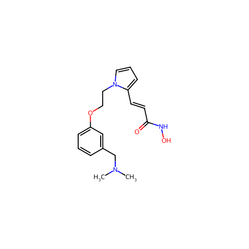 CN(C)Cc1cccc(OCCn2cccc2/C=C/C(=O)NO)c1